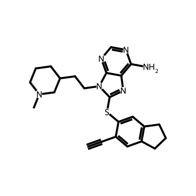 C#Cc1cc2c(cc1Sc1nc3c(N)ncnc3n1CCC1CCCN(C)C1)CCC2